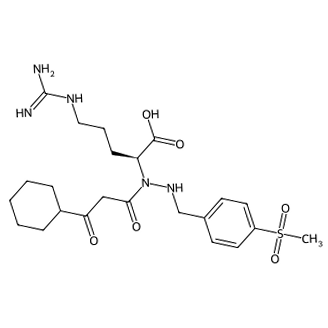 CS(=O)(=O)c1ccc(CNN(C(=O)CC(=O)C2CCCCC2)[C@@H](CCCNC(=N)N)C(=O)O)cc1